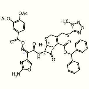 CC(=O)Oc1ccc(C(=O)O/N=C(\C(=O)N[C@@H]2C(=O)N3C(C(=O)OC(c4ccccc4)c4ccccc4)=C(CSc4nnnn4C)CS[C@H]23)c2coc(N)n2)cc1OC(C)=O